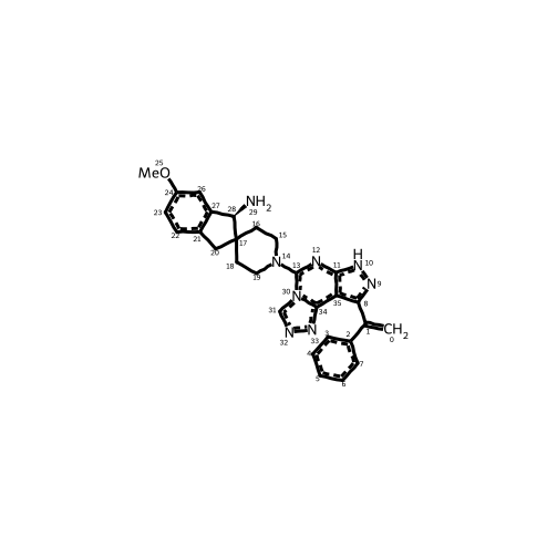 C=C(c1ccccc1)c1n[nH]c2nc(N3CCC4(CC3)Cc3ccc(OC)cc3[C@H]4N)n3cnnc3c12